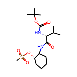 CC(C)[C@@H](NC(=O)OC(C)(C)C)C(=O)NC1CCCC[C@@H]1OS(C)(=O)=O